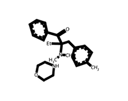 C1COCCN1.CCC(Cc1ccc(C)cc1)(C(=O)c1ccccc1)N(C)C